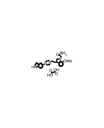 COc1cccc2c1N(CC(N)=O)CC2CCN1CCN(c2ccc3[nH]ccc3c2)CC1.O=C(O)C(=O)O